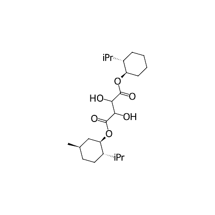 CC(C)[C@@H]1CCCC[C@H]1OC(=O)C(O)C(O)C(=O)O[C@@H]1C[C@H](C)CC[C@H]1C(C)C